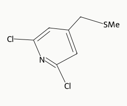 CSCc1cc(Cl)nc(Cl)c1